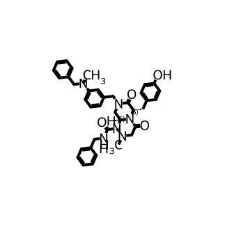 CN(Cc1ccccc1)c1cccc(CN2C[C@H]3N(C(=O)CN(C)N3C(=O)NCc3ccccc3)[C@@H](Cc3ccc(O)cc3)C2=O)c1